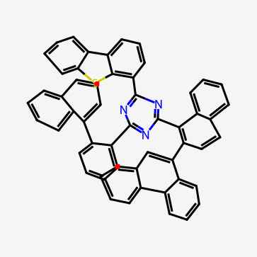 c1ccc(-c2cccc3ccccc23)c(-c2nc(-c3c(-c4cc5ccccc5c5ccccc45)ccc4ccccc34)nc(-c3cccc4c3sc3ccccc34)n2)c1